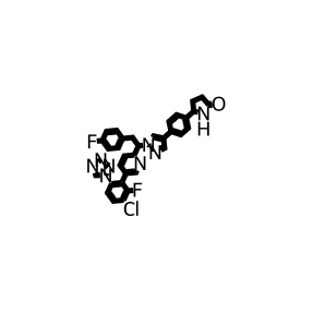 O=C1CCC(c2ccc(-c3cnn(C(Cc4ccc(F)cc4)c4ccc(-c5c(-n6cnnn6)ccc(Cl)c5F)cn4)c3)cc2)N1